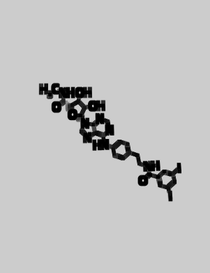 CNC(=O)[C@H]1O[C@@H](n2cnc3c(Nc4ccc(CCNC(=O)c5cc(I)cc(I)c5)cc4)ncnc32)C(O)C1O